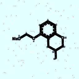 COCOc1cccc2c1CC(C)CO2